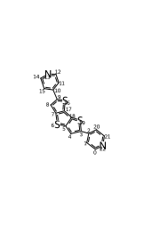 c1cc(-c2cc3sc4cc(-c5ccncc5)sc4c3s2)ccn1